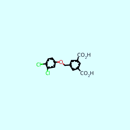 O=C(O)c1cc(COc2ccc(Cl)c(Cl)c2)cc(C(=O)O)c1